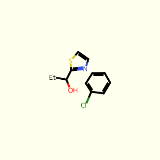 CCC(O)c1nccs1.Clc1ccccc1